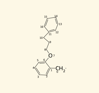 [CH2]c1ccccc1OCCCc1ccccc1